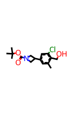 Cc1cc(C2CN(C(=O)OC(C)(C)C)C2)cc(Cl)c1CO